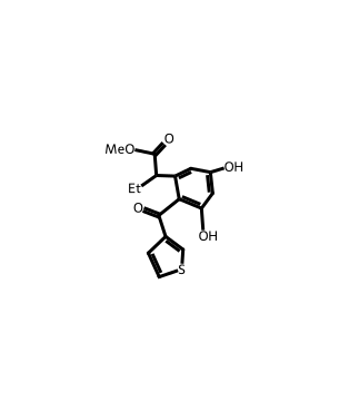 CCC(C(=O)OC)c1cc(O)cc(O)c1C(=O)c1ccsc1